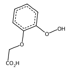 O=C(O)COc1ccccc1OO